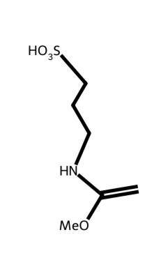 C=C(NCCCS(=O)(=O)O)OC